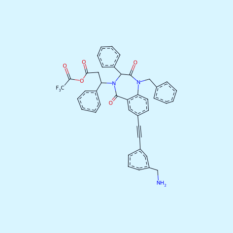 NCc1cccc(C#Cc2ccc3c(c2)C(=O)N(C(CC(=O)OC(=O)C(F)(F)F)c2ccccc2)C(c2ccccc2)C(=O)N3Cc2ccccc2)c1